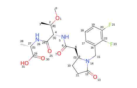 CO[C@H](C)[C@H](NC(=O)C[C@@H]1CCC(=O)N1Cc1cccc(F)c1F)C(=O)N[C@@H](C)C(=O)O